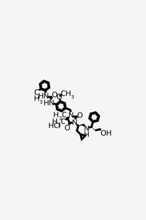 COc1cc(CN2C(=O)N([C@@H](CN[C@@H](CCO)c3ccccc3)CC3CC3)C(=O)C2(C)C)ccc1NC(=O)Nc1ccccc1C.Cl